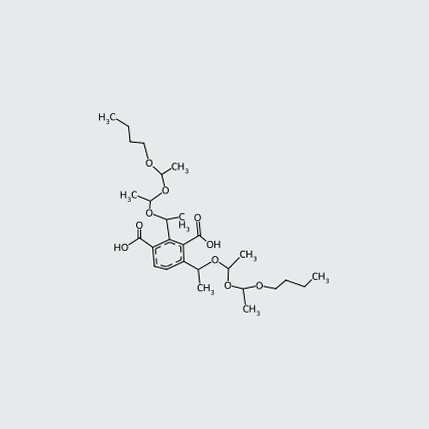 CCCCOC(C)OC(C)OC(C)c1ccc(C(=O)O)c(C(C)OC(C)OC(C)OCCCC)c1C(=O)O